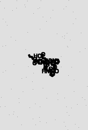 CCCCOC(=O)N1CCN(C(=O)C(CCC(=O)O)NC(=O)c2cc(OCC(=O)N3CCCC3C(=O)NC3CCC3)c3ccccc3n2)CC1